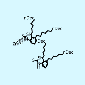 CCCCCCCCCCCCCCCCc1cccc(NC(=S)S)c1CCCCCCCCCCCCCCCC.CCCCCCCCCCCCCCCCc1cccc(NC(=S)S)c1CCCCCCCCCCCCCCCC.[S-2].[S-2].[Zn+2].[Zn+2].[Zn+2]